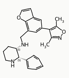 Cc1noc(C)c1-c1cc(CN[C@H]2CCCN[C@H]2c2ccccc2)c2occc2c1